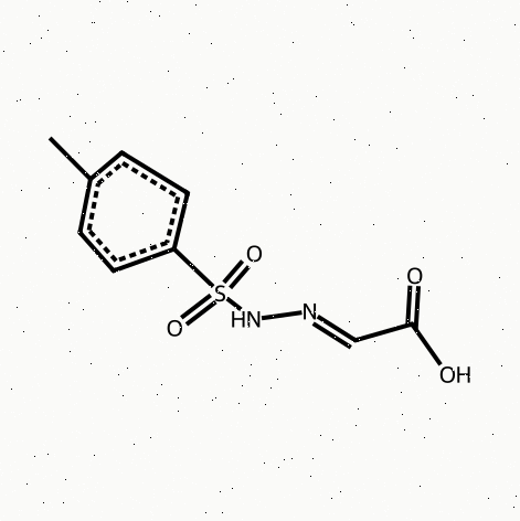 Cc1ccc(S(=O)(=O)N/N=C/C(=O)O)cc1